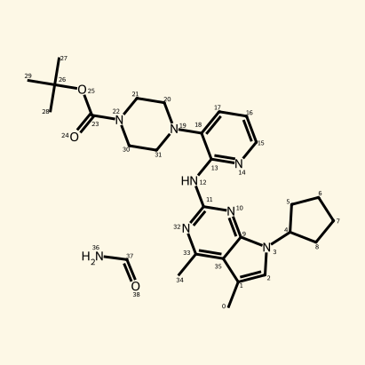 Cc1cn(C2CCCC2)c2nc(Nc3ncccc3N3CCN(C(=O)OC(C)(C)C)CC3)nc(C)c12.NC=O